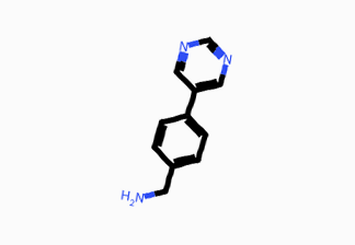 NCc1ccc(-c2cn[c]nc2)cc1